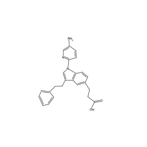 Nc1ccc(-n2cc(CCc3ccccc3)c3cc(CCC(=O)O)ccc32)nc1